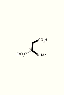 CCOC(=O)[C@H](CC(=O)O)NC(C)=O